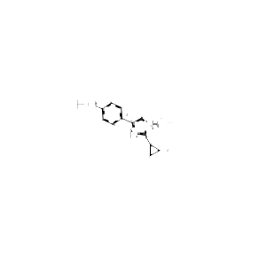 Cn1cc(-c2ccc(O)cc2)nc1C1CC1